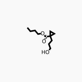 CCCCOS(=O)C1(CCCO)CC1